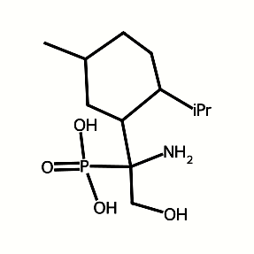 CC1CCC(C(C)C)C(C(N)(CO)P(=O)(O)O)C1